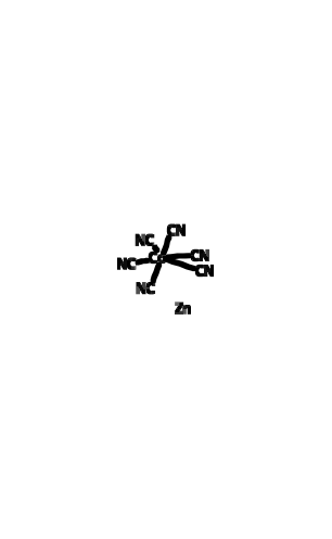 N#[C][Co]([C]#N)([C]#N)([C]#N)([C]#N)[C]#N.[Zn]